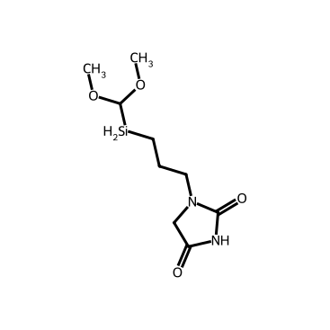 COC(OC)[SiH2]CCCN1CC(=O)NC1=O